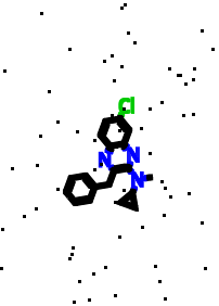 CN(c1nc2cc(Cl)ccc2nc1Cc1ccccc1)C1CC1